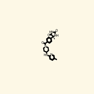 Cc1ccc(NC2CCN(C(=O)c3ccc([C@@]4(C)NC(=O)NC4=O)cc3)CC2)nc1